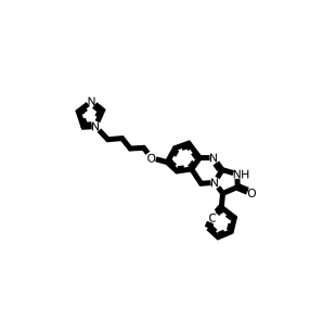 O=C1NC2=Nc3ccc(OCCCCn4ccnc4)cc3CN2C1c1ccccc1